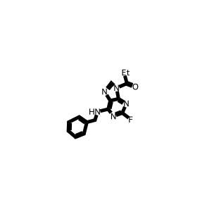 CCC(=O)n1cnc2c(NCc3ccccc3)nc(F)nc21